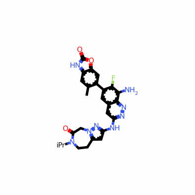 Cc1cc2[nH]c(=O)oc2cc1-c1cc2cc(Nc3cc4n(n3)CC(=O)N(C(C)C)CC4)nnc2c(N)c1F